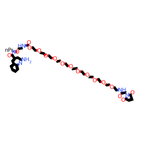 CCCN(OCCNC(=O)OCCOCCOCCOCCOCCOCCOCCOCCOCCOCCOCCNC(=O)CN1C(=O)C=CC1=O)C(=O)C1=Cc2ccccc2N=C(N)C1